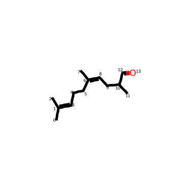 CC(C)=CCC/C(C)=C\CC(C)C=O